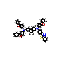 c1ccc2sc(-c3ccc(N(c4ccc5c(ccc6cc(N(c7ccc8c(c7)oc7ccccc78)c7ccc8oc9ccccc9c8c7)ccc65)c4)c4ccc5c(c4)oc4ccccc45)cc3)nc2c1